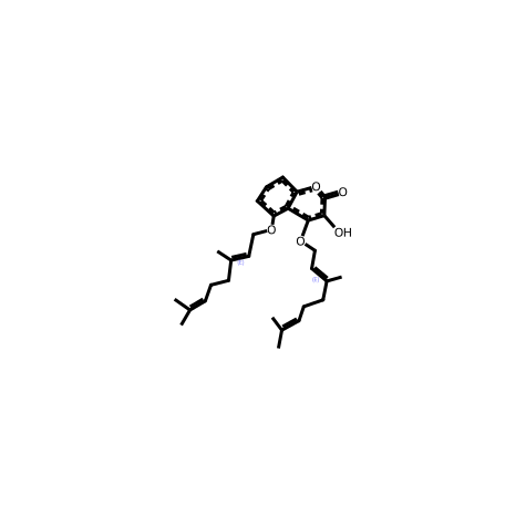 CC(C)=CCC/C(C)=C/COc1cccc2oc(=O)c(O)c(OC/C=C(\C)CCC=C(C)C)c12